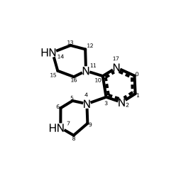 c1cnc(N2CCNCC2)c(N2CCNCC2)n1